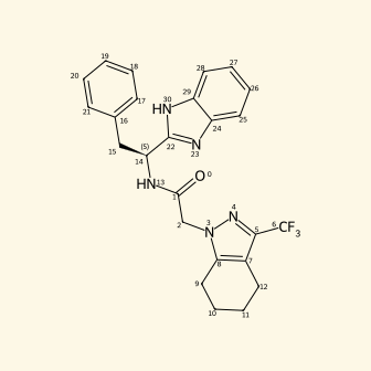 O=C(Cn1nc(C(F)(F)F)c2c1CCCC2)N[C@@H](Cc1ccccc1)c1nc2ccccc2[nH]1